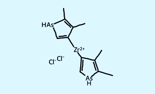 CC1=C(C)[C]([Zr+2][C]2=C[AsH]C(C)=C2C)=C[AsH]1.[Cl-].[Cl-]